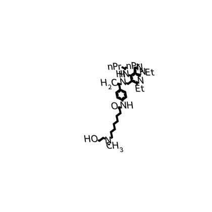 C=C(NCc1c(CC)nc2c(cnn2CC)c1NC(CCC)CCC)c1ccc(NC(=O)CCCCCCCN(C)CCO)cc1